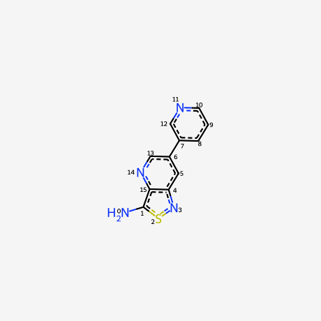 Nc1snc2cc(-c3cccnc3)cnc12